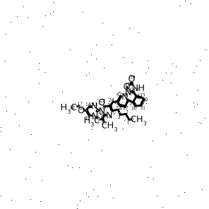 CCCCCc1nc(C(C)C)n(-c2ncc(OCC)cn2)c(=O)c1Cc1ccc(-c2ccccc2-c2noc(=O)[nH]2)nc1